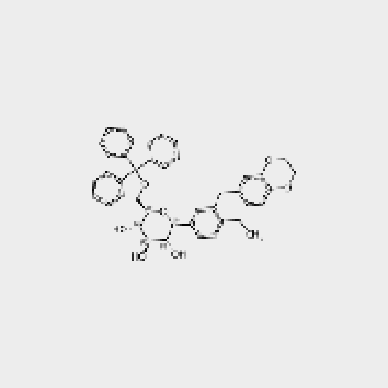 CCc1ccc([C@@H]2O[C@H](COC(c3ccccc3)(c3ccccc3)c3ccccc3)[C@@H](O)[C@H](O)[C@H]2O)cc1Cc1ccc2c(c1)OCCO2